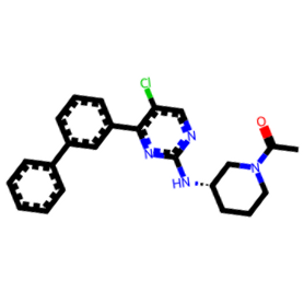 CC(=O)N1CCC[C@H](Nc2ncc(Cl)c(-c3cccc(-c4ccccc4)c3)n2)C1